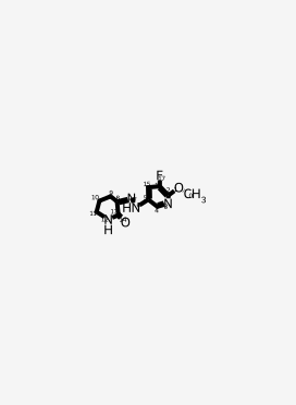 COc1ncc(N/N=C2/CCCNC2=O)cc1F